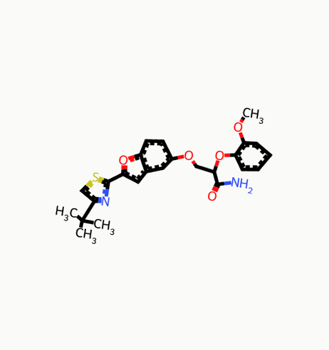 COc1ccccc1OC(COc1ccc2oc(-c3nc(C(C)(C)C)cs3)cc2c1)C(N)=O